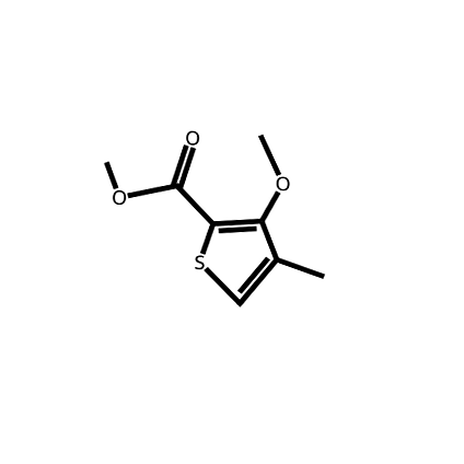 COC(=O)c1scc(C)c1OC